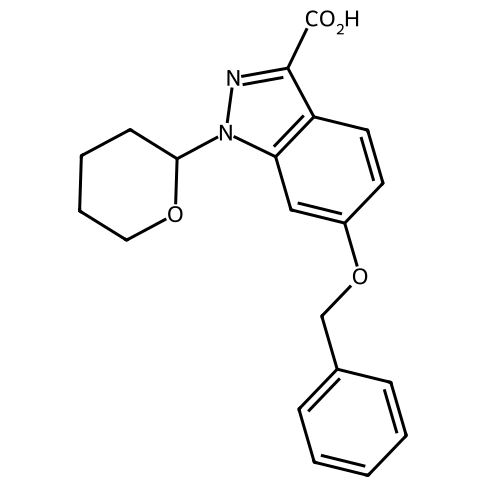 O=C(O)c1nn(C2CCCCO2)c2cc(OCc3ccccc3)ccc12